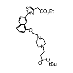 CCOC(=O)Cc1csc(-c2ccc3cccc(OCCN4CCN(CCC(=O)OC(C)(C)C)CC4)c3c2)n1